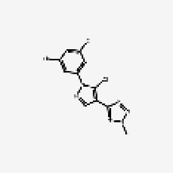 Cn1nnc(-c2cnn(-c3cc(Cl)cc(Cl)c3)c2Cl)n1